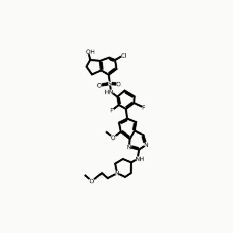 COCCN1CCC(Nc2ncc3cc(-c4c(F)ccc(NS(=O)(=O)c5cc(Cl)cc6c5CCC6O)c4F)cc(OC)c3n2)CC1